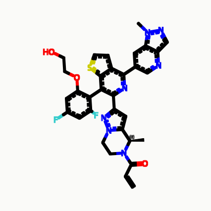 C=CC(=O)N1CCn2nc(-c3nc(-c4cnc5cnn(C)c5c4)c4ccsc4c3-c3c(F)cc(F)cc3OCCO)cc2[C@H]1C